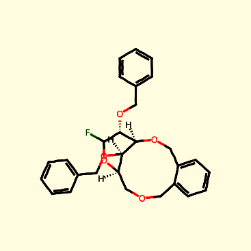 FC1O[C@@H]2COCc3ccccc3CO[C@@H]([C@@H]2OCc2ccccc2)[C@H]1OCc1ccccc1